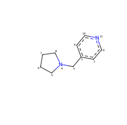 [c]1cc(CN2CCCC2)ccn1